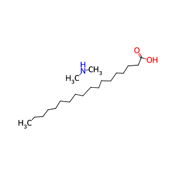 CCCCCCCCCCCCCCCCCC(=O)O.CNC